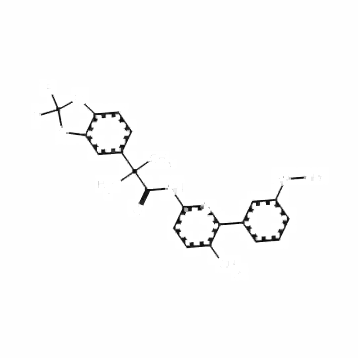 CCCNc1cccc(-c2nc(NC(=O)C(C)(C)c3ccc4c(c3)OC(F)(F)O4)ccc2C)c1